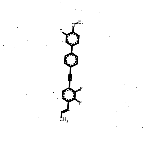 C/C=C/c1ccc(C#Cc2ccc(-c3ccc(OCC)c(F)c3)cc2)c(F)c1F